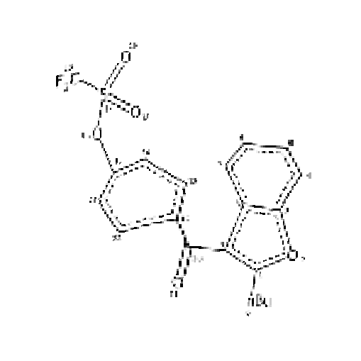 CCCCc1oc2ccccc2c1C(=O)c1ccc(OS(=O)(=O)C(F)(F)F)cc1